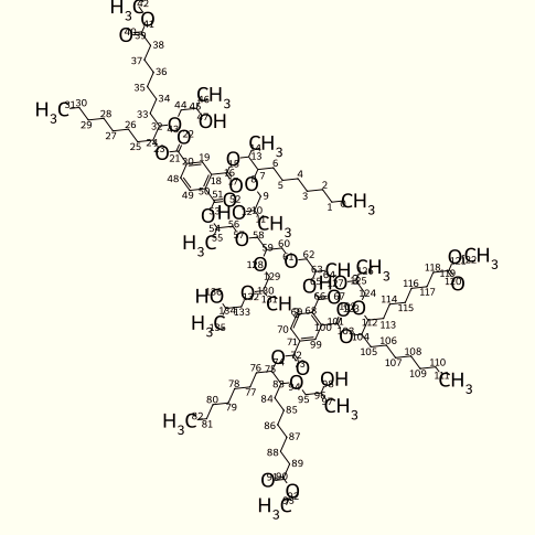 CCCCCCCC(OCC(C)O)C(C)OC(=O)c1cc(C(=O)OC(CCCCCCC)C(CCCCCCC(=O)OC)OCC(C)O)ccc1C(=O)OC(C)COCC(COCC(C)OC(=O)c1ccc(C(=O)OC(CCCCCCC)C(CCCCCCC(=O)OC)OCC(C)O)cc1C(=O)OC(CCCCCCC)C(CCCCCCC(=O)OC)OCC(C)O)OCC(C)OCC(C)O